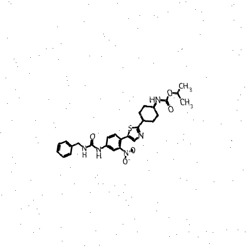 CC(C)OC(=O)NC1CCC(c2ncc(-c3ccc(NC(=O)NCc4ccccc4)cc3[N+](=O)[O-])s2)CC1